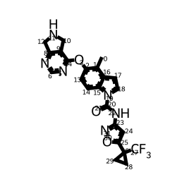 Cc1c(Oc2ncnc3c2CNC3)ccc2c1ccn2C(=O)Nc1cc(C2(C(F)(F)F)CC2)on1